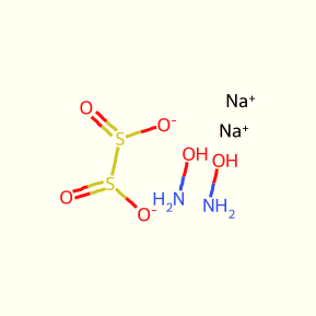 NO.NO.O=S([O-])S(=O)[O-].[Na+].[Na+]